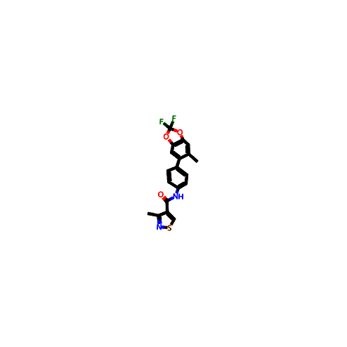 Cc1cc2c(cc1-c1ccc(NC(=O)c3csnc3C)cc1)OC(F)(F)O2